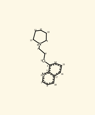 c1cnc2c(OCCN3CCCCC3)cccc2c1